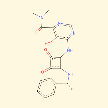 C[C@@H](Nc1c(Nc2ncnc(C(=O)N(C)C)c2O)c(=O)c1=O)c1ccccc1